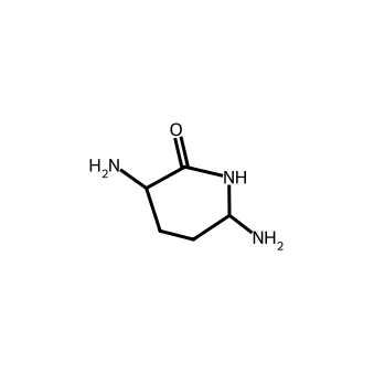 NC1CCC(N)C(=O)N1